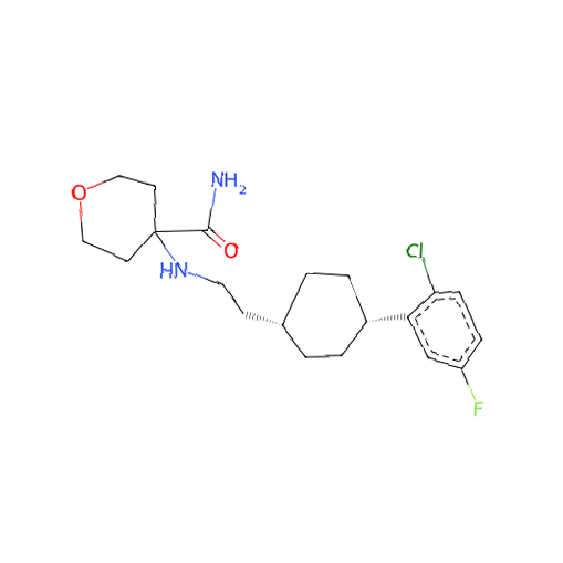 NC(=O)C1(NCC[C@H]2CC[C@@H](c3cc(F)ccc3Cl)CC2)CCOCC1